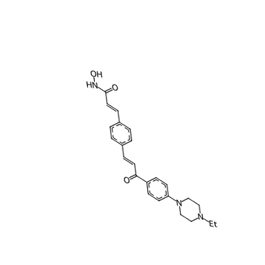 CCN1CCN(c2ccc(C(=O)/C=C/c3ccc(/C=C/C(=O)NO)cc3)cc2)CC1